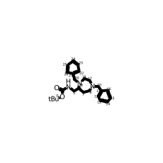 CC(C)(C)OC(=O)NCC1CCN(Cc2ccccc2)CCN1Cc1ccccc1